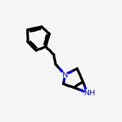 c1ccc(CCN2CC3NC3C2)cc1